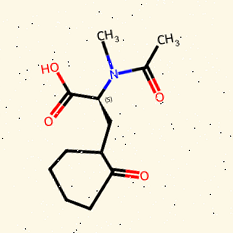 CC(=O)N(C)[C@@H](CC1CCCCC1=O)C(=O)O